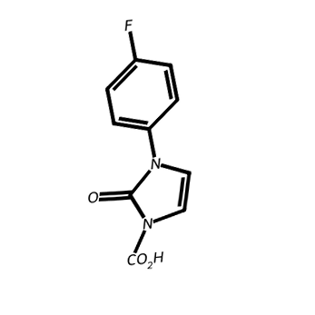 O=C(O)n1ccn(-c2ccc(F)cc2)c1=O